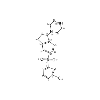 O=S(=O)(c1cccc(Cl)c1)c1ccc2c(c1)CCC2N1CCNCC1